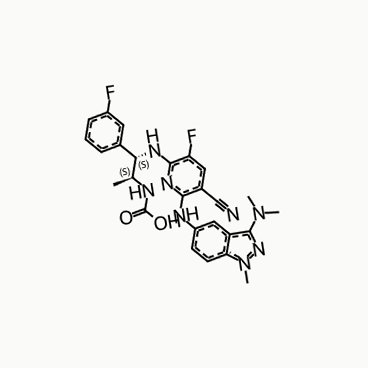 C[C@H](NC(=O)O)[C@@H](Nc1nc(Nc2ccc3c(c2)c(N(C)C)nn3C)c(C#N)cc1F)c1cccc(F)c1